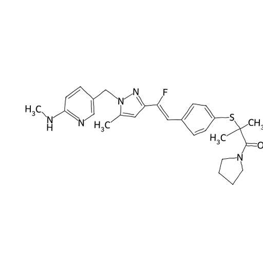 CNc1ccc(Cn2nc(C(F)=Cc3ccc(SC(C)(C)C(=O)N4CCCC4)cc3)cc2C)cn1